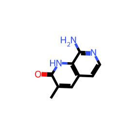 Cc1cc2ccnc(N)c2[nH]c1=O